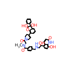 CN(CC(=O)N1CC=C(c2cccc(C(O)(C(=O)O)c3ccccc3)c2)CC1)C(=O)c1ccc(CNCC(O)c2ccc(O)c3[nH]c(=O)ccc23)cc1